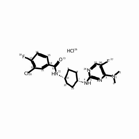 CN(C)c1nc(N[C@H]2CC[C@@H](NC(=O)c3ccc(F)c(Cl)c3)CC2)ncc1F.Cl